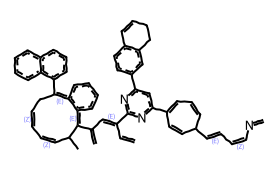 C=C/C(=C\C(=C)/C1=c2\cccc\c2=C(/c2cccc3ccccc23)C/C=C\C=C/C1C)c1nc(C2=CC=CC(/C=C/C=C\N=C)C=C2)cc(-c2ccc3c(c2)CCC=C3)n1